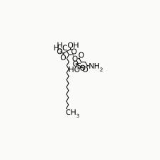 CCCCCCCCCCCCCCCCC(COC(=O)C(CC(N)=O)S(=O)(=O)O)C(C)(C(=O)O)C(=O)O